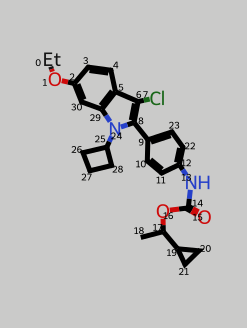 CCOc1ccc2c(Cl)c(-c3ccc(NC(=O)OC(C)C4CC4)cc3)n(C3CCC3)c2c1